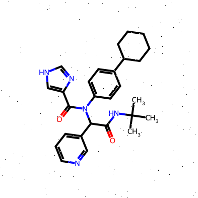 CC(C)(C)NC(=O)C(c1cccnc1)N(C(=O)c1c[nH]cn1)c1ccc(C2CCCCC2)cc1